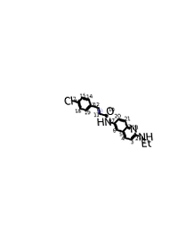 CCNc1ccc2cc(NC(=O)/C=C/c3ccc(Cl)cc3)ccc2n1